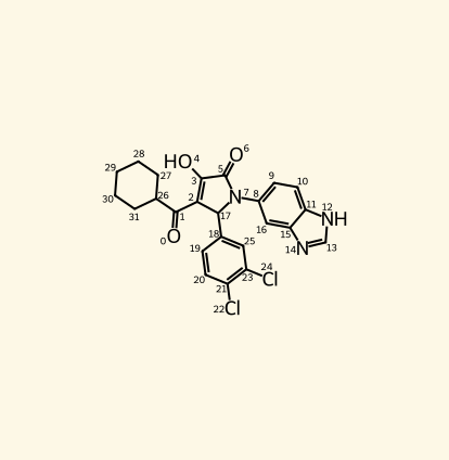 O=C(C1=C(O)C(=O)N(c2ccc3[nH]cnc3c2)C1c1ccc(Cl)c(Cl)c1)C1CCCCC1